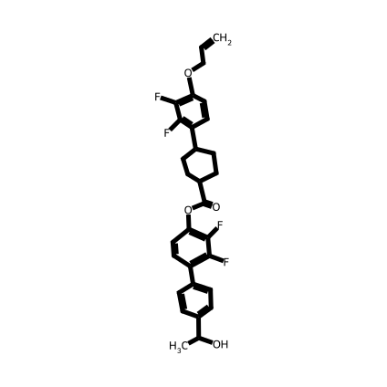 C=CCOc1ccc(C2CCC(C(=O)Oc3ccc(-c4ccc(C(C)O)cc4)c(F)c3F)CC2)c(F)c1F